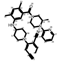 C#C/C=C(\C(C#N)=C/C)N1CCC(Nc2cc(C(=O)N3CCN(c4ccccn4)[C@H](C)C3)c(C)cc2C)CC1